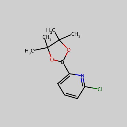 CC1(C)OB(c2cccc(Cl)n2)OC1(C)C